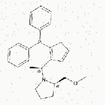 COC[C@H]1CCCN1[C@@H](C)C1=C(P(c2ccccc2)c2ccccc2)CC=C1